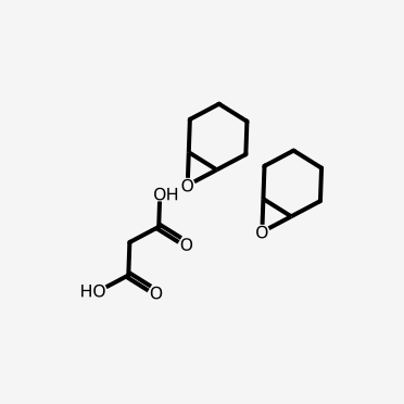 C1CCC2OC2C1.C1CCC2OC2C1.O=C(O)CC(=O)O